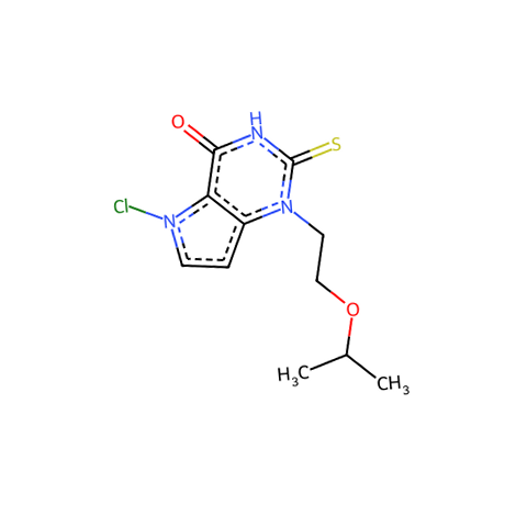 CC(C)OCCn1c(=S)[nH]c(=O)c2c1ccn2Cl